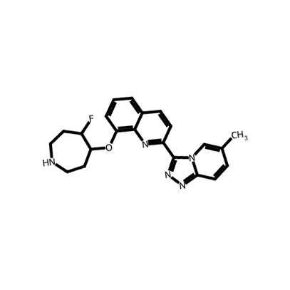 Cc1ccc2nnc(-c3ccc4cccc(OC5CCNCCC5F)c4n3)n2c1